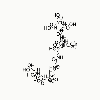 CC(C)(C)[Si](F)(c1ccc(C(=O)N[C@H](CNC(=O)CN2CCN(CC(=O)O)CCN(CC(=O)O)CCN(CC(=O)O)CC2)C(=O)N[C@@H](CCCCNC(=O)CCC(=O)NCCC[C@@H](NC(=O)CC[C@H](NC(=O)N[C@@H](CCCC(O)O)C(=O)O)C(=O)O)C(=O)O)C(=O)O)cc1)C(C)(C)C